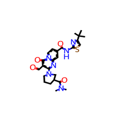 CN(C)C(=O)C1CCCN(c2nc3cc(C(=O)Nc4nc(C(C)(C)C)cs4)ccn3c(=O)c2C=O)C1